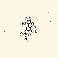 Cc1c(C2=C(O)C(=O)NC2=O)cc2c(c1C)C(=O)C(C)(C1CCCC1)C2